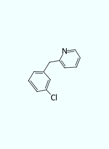 Clc1cccc(Cc2ccccn2)c1